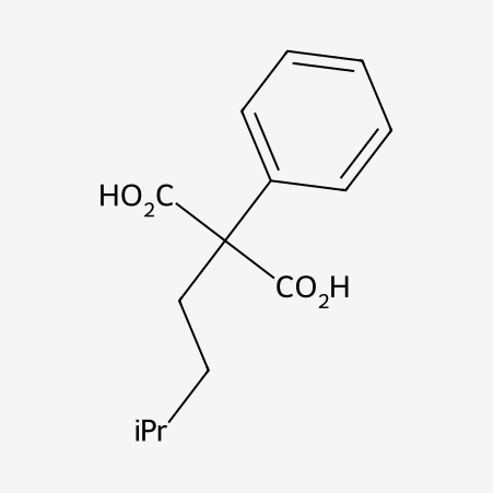 CC(C)CCC(C(=O)O)(C(=O)O)c1ccccc1